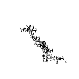 CC(N)CCc1cc(Cl)c(F)c(-c2cc3cn(-c4ccc(CNCCCNC(=N)N)cc4)c(=O)nc3[nH]2)c1